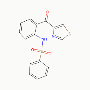 O=C(c1cscn1)c1ccccc1NS(=O)(=O)c1ccccc1